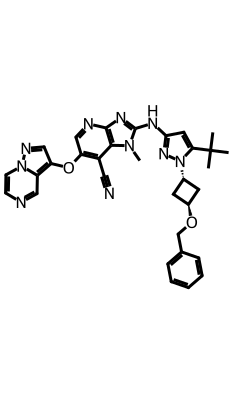 Cn1c(Nc2cc(C(C)(C)C)n([C@H]3C[C@H](OCc4ccccc4)C3)n2)nc2ncc(Oc3cnn4ccncc34)c(C#N)c21